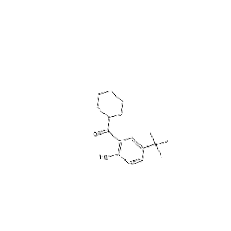 CC(C)(C)c1ccc(O)c(C(=O)C2CCCCC2)c1